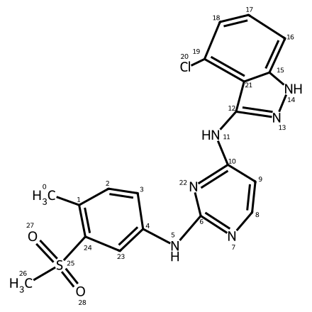 Cc1ccc(Nc2nccc(Nc3n[nH]c4cccc(Cl)c34)n2)cc1S(C)(=O)=O